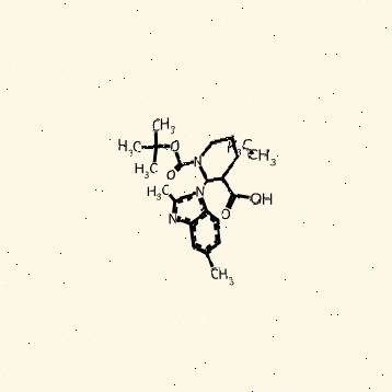 CC.Cc1ccc2c(c1)nc(C)n2C1C(C(=O)O)CCCN1C(=O)OC(C)(C)C